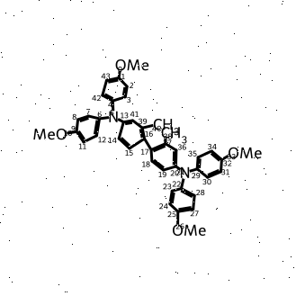 COc1ccc(N(c2ccc(OC)cc2)c2ccc(-c3ccc(N(c4ccc(OC)cc4)c4ccc(OC)cc4)cc3C)c(C)c2)cc1